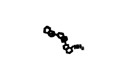 NCC1CCCc2ccc(C3CC4SCC3c3cc(C5CC6OCC5C5C=CC=CC65)ccc34)cc21